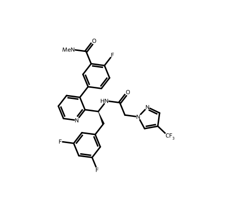 CNC(=O)c1cc(-c2cccnc2[C@H](Cc2cc(F)cc(F)c2)NC(=O)Cn2cc(C(F)(F)F)cn2)ccc1F